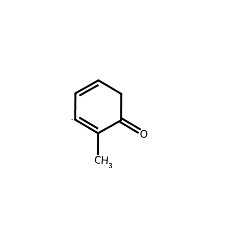 CC1=[C]C=CCC1=O